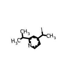 CC(C)c1cc(C(C)I)ccn1